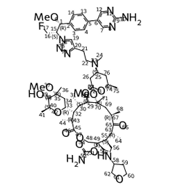 CO[C@H](c1ccc(-c2cnc(N)nc2)cc1)[C@@H](CF)n1cc(CCN(C)[C@@H]2C[C@H](O[C@@H]3[C@@H](C)C([C@H]4C[C@@](C)(OC)[C@@H](O)[C@H](C)O4)[C@@H](C)C(=O)OC[C@@](C)(OC(N)=O)[C@H](CNC4CCOC4)[C@@H](C)C(=O)[C@H](C)C[C@@]3(C)OC)O[C@H](C)C2)nn1